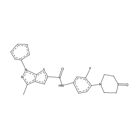 Cc1nn(-c2ccccc2)c2sc(C(=O)Nc3ccc(N4CCC(=O)CC4)c(F)c3)cc12